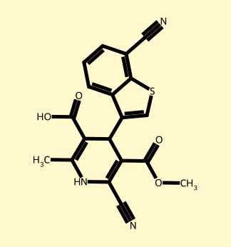 COC(=O)C1=C(C#N)NC(C)=C(C(=O)O)C1c1csc2c(C#N)cccc12